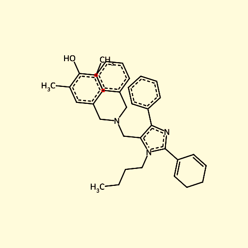 CCCCn1c(C2=CCCC=C2)nc(-c2ccccc2)c1CN(Cc1ccccc1)Cc1cc(C)c(O)c(C)c1